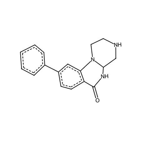 O=C1NC2CNCCN2c2cc(-c3ccccc3)ccc21